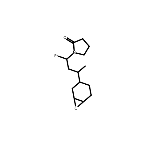 CCC(CC(C)C1CCC2OC2C1)N1CCCC1=O